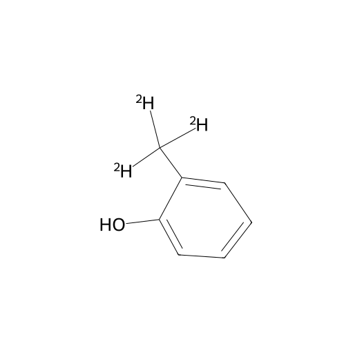 [2H]C([2H])([2H])c1ccccc1O